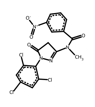 CN(C(=O)c1cccc([N+](=O)[O-])c1)C1=NN(c2c(Cl)cc(Cl)cc2Cl)C(=O)C1